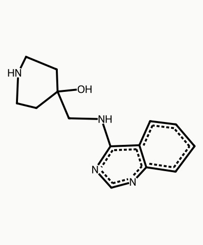 OC1(CNc2ncnc3ccccc23)CCNCC1